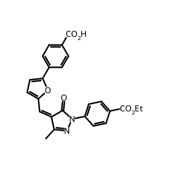 CCOC(=O)c1ccc(N2N=C(C)/C(=C/c3ccc(-c4ccc(C(=O)O)cc4)o3)C2=O)cc1